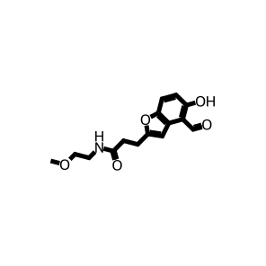 COCCNC(=O)CCc1cc2c(C=O)c(O)ccc2o1